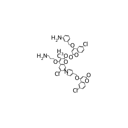 Cc1c(OCCCN)c2cc(Cl)ccc2oc1=O.Nc1cccc(COc2cc(=O)oc3ccc(Cl)cc23)c1.O=c1cc(OCc2ccncc2)c2cc(Cl)ccc2o1